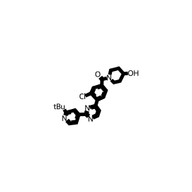 CC(C)(C)c1cc(-c2nccc(-c3ccc(C(=O)N4CCC(O)CC4)cc3Cl)n2)ccn1